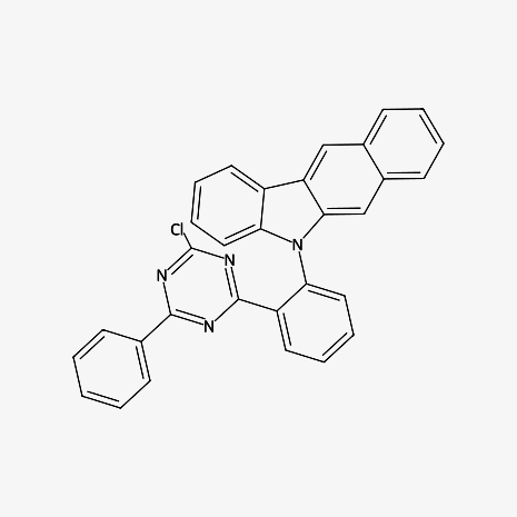 Clc1nc(-c2ccccc2)nc(-c2ccccc2-n2c3ccccc3c3cc4ccccc4cc32)n1